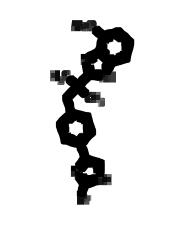 COc1cccc2[nH]c(C(C)(C)Cc3ccc(-c4c[nH]c(C(C)C)n4)cc3)nc12